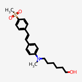 CN(CCCCCCO)c1ccc(C=Cc2ccc(S(C)(=O)=O)cc2)cc1